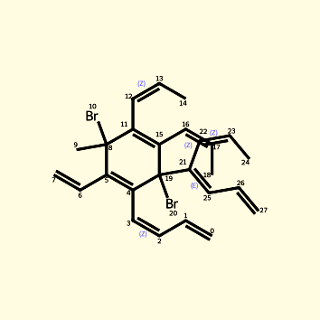 C=C/C=C\C1=C(C=C)C(C)(Br)C(/C=C\C)=C(/C=C\C)C1(Br)C(/C=C\C)=C/C=C